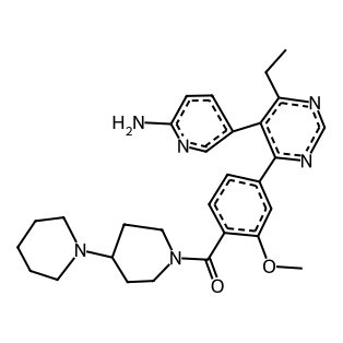 CCc1ncnc(-c2ccc(C(=O)N3CCC(N4CCCCC4)CC3)c(OC)c2)c1-c1ccc(N)nc1